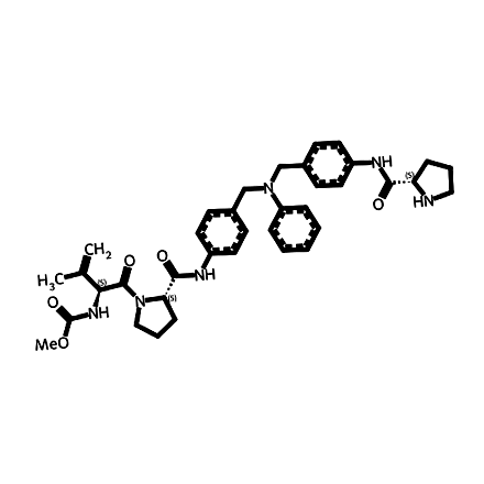 C=C(C)[C@H](NC(=O)OC)C(=O)N1CCC[C@H]1C(=O)Nc1ccc(CN(Cc2ccc(NC(=O)[C@@H]3CCCN3)cc2)c2ccccc2)cc1